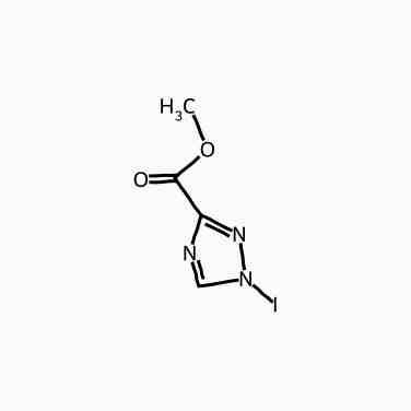 COC(=O)c1ncn(I)n1